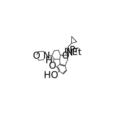 CCCO[C@@]12CCC(N3CCOCC3)[C@@H]3Oc4c(O)ccc(c4C31)C[C@H]2N(CC)CC1CC1